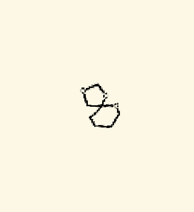 C1CCC2(COCO2)OC1